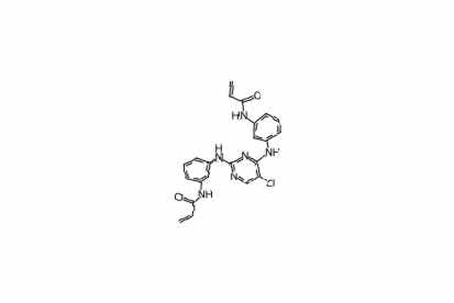 C=CC(=O)Nc1cccc(Nc2ncc(Cl)c(Nc3cccc(NC(=O)C=C)c3)n2)c1